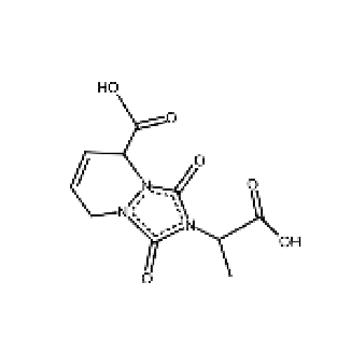 CC(C(=O)O)n1c(=O)n2n(c1=O)C(C(=O)O)C=CC2